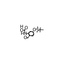 CC(C)(C)[Si](C)(C)Oc1ccc(C=O)c(NC(=O)O)c1